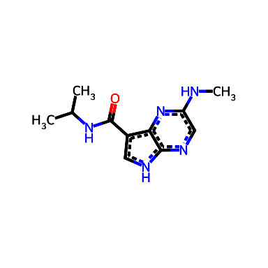 CNc1cnc2[nH]cc(C(=O)NC(C)C)c2n1